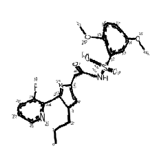 CCCC1C=C(C(=O)NS(=O)(=O)c2cc(OC)ccc2OC)N=C1c1ncccc1F